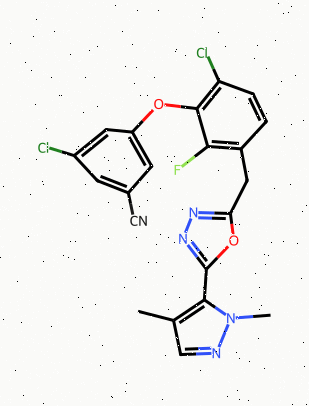 Cc1cnn(C)c1-c1nnc(Cc2ccc(Cl)c(Oc3cc(Cl)cc(C#N)c3)c2F)o1